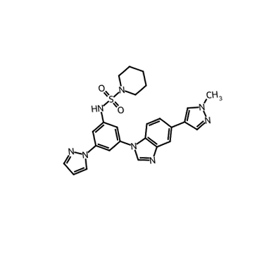 Cn1cc(-c2ccc3c(c2)ncn3-c2cc(NS(=O)(=O)N3CCCCC3)cc(-n3cccn3)c2)cn1